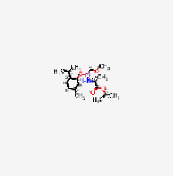 COCP(N[C@@H](C)C(=O)OC(C)C)Oc1cc(C)ccc1C(C)C